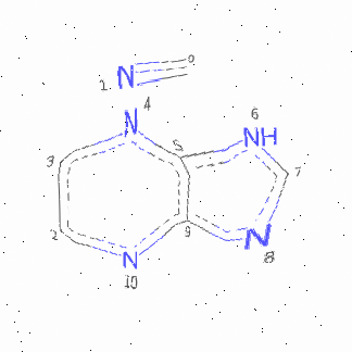 C#N.c1cnc2[nH]cnc2n1